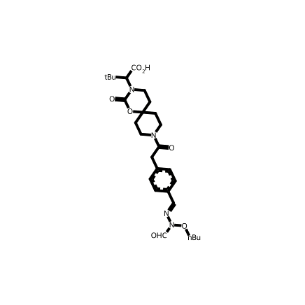 CCCCON(C=O)N=Cc1ccc(CC(=O)N2CCC3(CC2)CCN(C(C(=O)O)C(C)(C)C)C(=O)O3)cc1